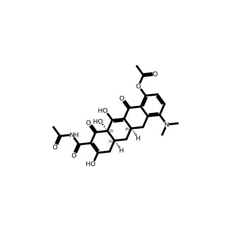 CC(=O)NC(=O)C1=C(O)C[C@@H]2C[C@@H]3Cc4c(N(C)C)ccc(OC(C)=O)c4C(=O)C3=C(O)[C@]2(O)C1=O